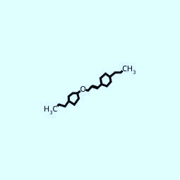 CCCC1CCC(C=CCOC2CCC(CCC)CC2)CC1